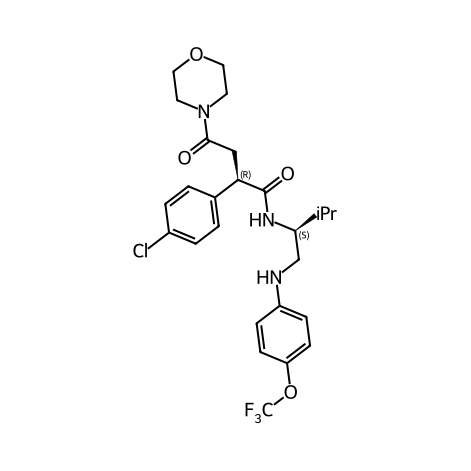 CC(C)[C@@H](CNc1ccc(OC(F)(F)F)cc1)NC(=O)[C@H](CC(=O)N1CCOCC1)c1ccc(Cl)cc1